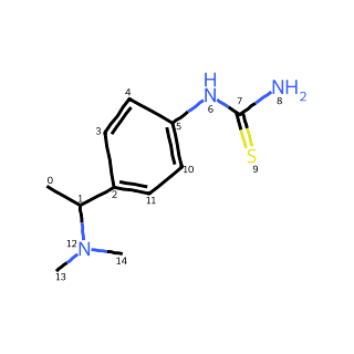 CC(c1ccc(NC(N)=S)cc1)N(C)C